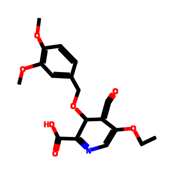 CCOC1=CN=C(C(=O)O)C(OCc2ccc(OC)c(OC)c2)C1=C=O